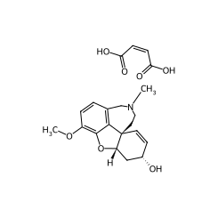 COc1ccc2c3c1O[C@H]1C[C@@H](O)C=C[C@@]31CCN(C)C2.O=C(O)/C=C\C(=O)O